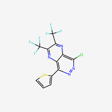 FC(F)(F)c1nc2c(Cl)nnc(-c3cccs3)c2nc1C(F)(F)F